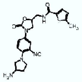 Cc1ccc(C(=O)NCC2CN(c3ccc(N4CCC(N)C4)c(N=O)c3)C(=O)O2)s1